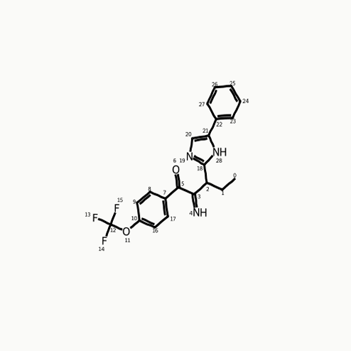 CCC(C(=N)C(=O)c1ccc(OC(F)(F)F)cc1)c1ncc(-c2ccccc2)[nH]1